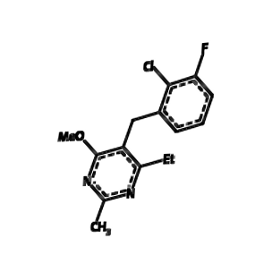 CCc1nc(C)nc(OC)c1Cc1cccc(F)c1Cl